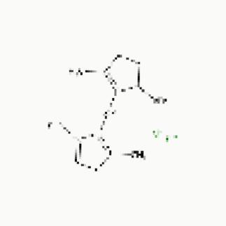 CCCC1=CCC(C)=[C]1[Zr+2][C]1=C(C)CC=C1CCC.[Cl-].[Cl-]